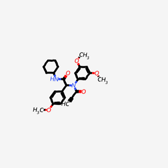 C#CC(=O)N(c1cc(OC)cc(OC)c1)C(C(=O)NC1CCCCC1)c1ccc(OC)cc1